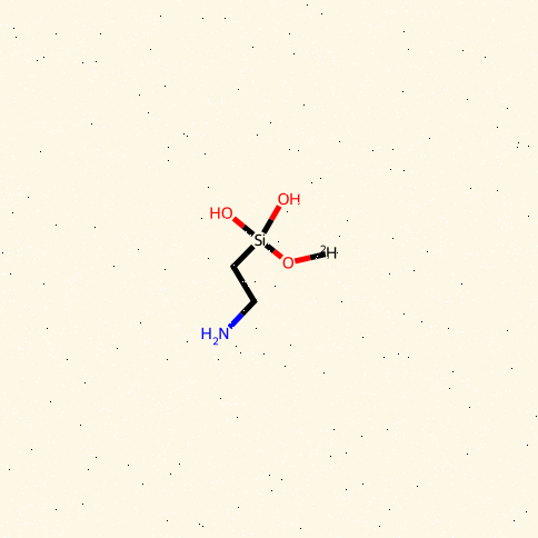 [2H]O[Si](O)(O)CCN